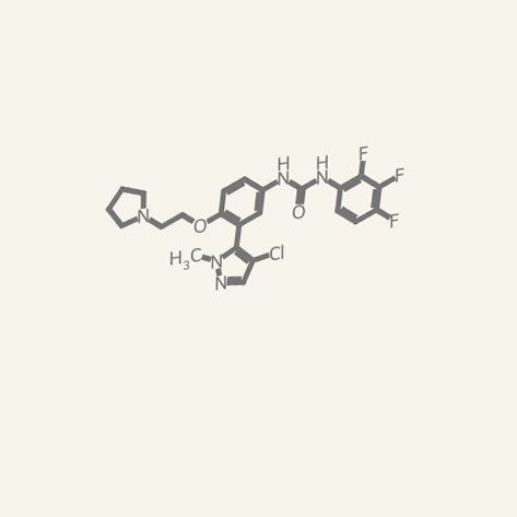 Cn1ncc(Cl)c1-c1cc(NC(=O)Nc2ccc(F)c(F)c2F)ccc1OCCN1CCCC1